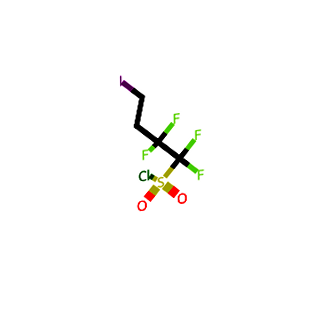 O=S(=O)(Cl)C(F)(F)C(F)(F)CCI